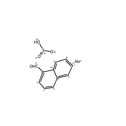 O=Cc1cccc2ccccc12.O=S([O-])O.[Na+]